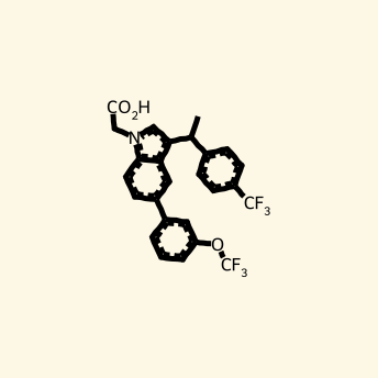 CC(c1ccc(C(F)(F)F)cc1)c1cn(CC(=O)O)c2ccc(-c3cccc(OC(F)(F)F)c3)cc12